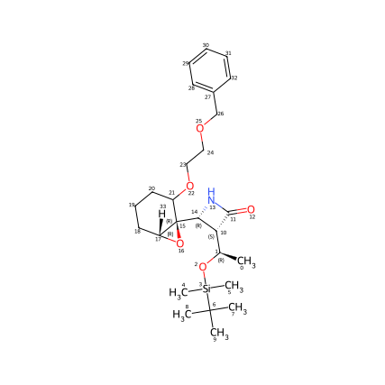 C[C@@H](O[Si](C)(C)C(C)(C)C)[C@H]1C(=O)N[C@H]1[C@]12O[C@@H]1CCCC2OCCOCc1ccccc1